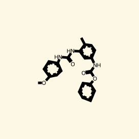 COc1ccc(NC(=O)Nc2cc(NC(=O)Oc3ccccc3)ccc2C)cc1